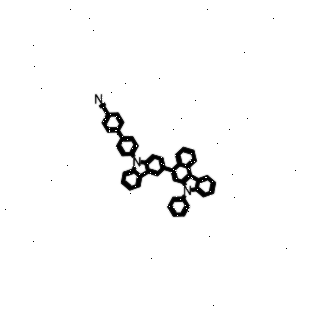 N#Cc1ccc(-c2ccc(-n3c4ccccc4c4cc(-c5cc6c(c7ccccc57)c5ccccc5n6-c5ccccc5)ccc43)cc2)cc1